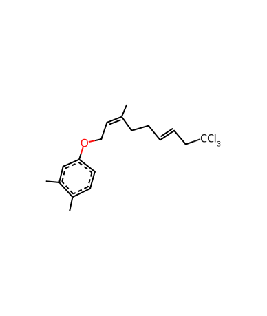 CC(=CCOc1ccc(C)c(C)c1)CCC=CCC(Cl)(Cl)Cl